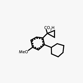 COc1ccc(C2(C(=O)O)CC2)c(C2CCCCC2)c1